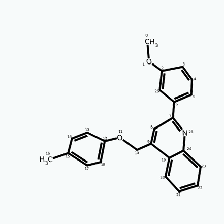 COc1cccc(-c2cc(COc3ccc(C)cc3)c3ccccc3n2)c1